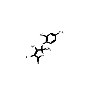 Cc1ccc(OC2(C)OC(=O)C(O)=C2O)c(O)c1